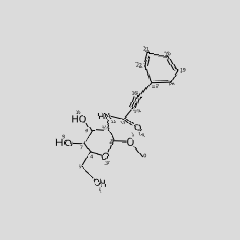 COC1OC(CO)C(O)C(O)C1NC(=O)C#Cc1ccccc1